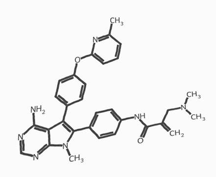 C=C(CN(C)C)C(=O)Nc1ccc(-c2c(-c3ccc(Oc4cccc(C)n4)cc3)c3c(N)ncnc3n2C)cc1